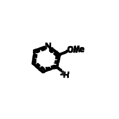 [2H]c1cccnc1OC